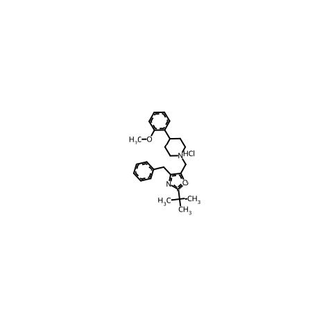 COc1ccccc1C1CCN(Cc2oc(C(C)(C)C)nc2Cc2ccccc2)CC1.Cl